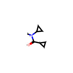 CN(C(=O)C1CC1)C1CC1